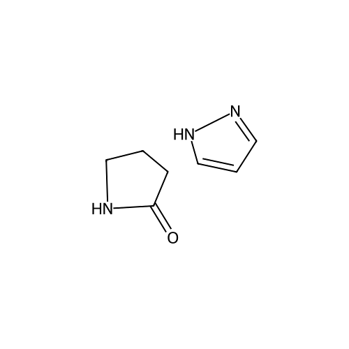 O=C1CCCN1.c1cn[nH]c1